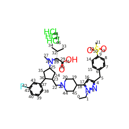 CCn1nc(Cc2ccc(S(C)(=O)=O)cc2)cc1C1CCN(CC2CC(N(C)[C@@H](C(=O)O)C(C)C)CC2c2cccc(F)c2)CC1.Cl.Cl.Cl